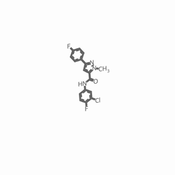 Cn1nc(-c2ccc(F)cc2)cc1C(=O)Nc1ccc(F)c(Cl)c1